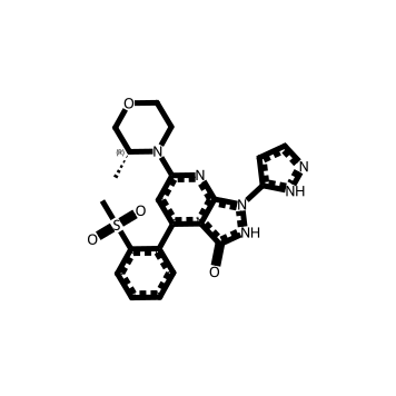 C[C@@H]1COCCN1c1cc(-c2ccccc2S(C)(=O)=O)c2c(=O)[nH]n(-c3ccn[nH]3)c2n1